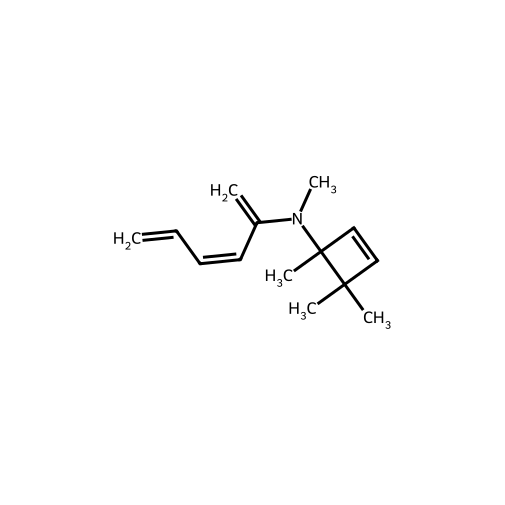 C=C/C=C\C(=C)N(C)C1(C)C=CC1(C)C